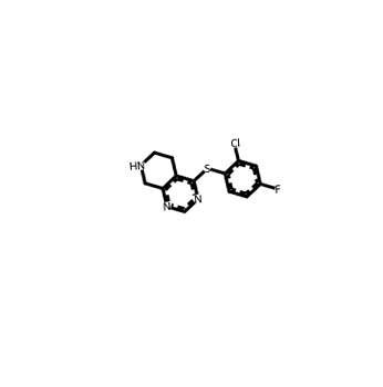 Fc1ccc(Sc2ncnc3c2CCNC3)c(Cl)c1